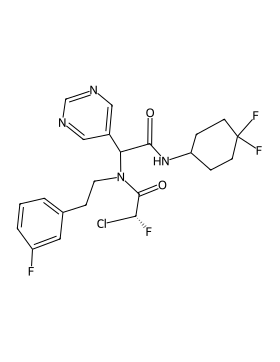 O=C(NC1CCC(F)(F)CC1)C(c1cncnc1)N(CCc1cccc(F)c1)C(=O)[C@H](F)Cl